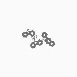 c1ccc2cc3c(cc2c1)c1ccccc1n3-c1ccc2c3ccccc3n(-c3nc4c(ccc5sc6ccccc6c54)o3)c2c1